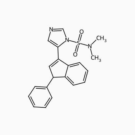 CN(C)S(=O)(=O)n1cncc1C1=CC(c2ccccc2)c2ccccc21